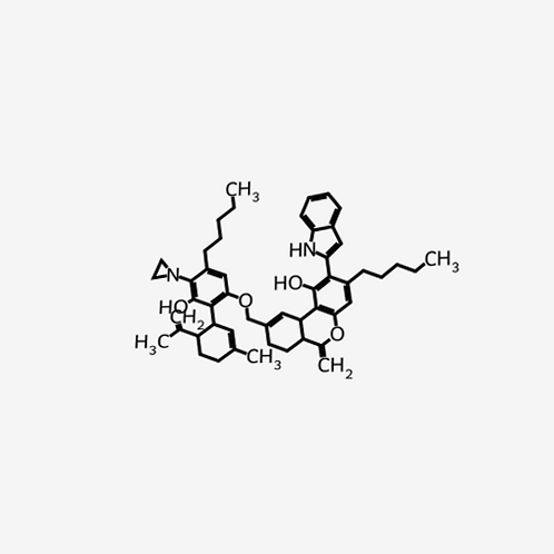 C=C1Oc2cc(CCCCC)c(-c3cc4ccccc4[nH]3)c(O)c2C2C=C(COc3cc(CCCCC)c(N4CC4)c(O)c3C3C=C(C)CCC3C(=C)C)CCC12